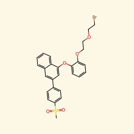 CS(=O)(=O)c1ccc(-c2cc(Oc3ccccc3OCCOCCBr)c3ccccc3c2)cc1